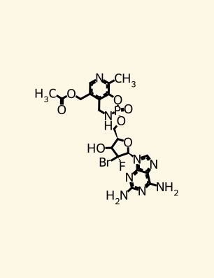 CC(=O)OCc1cnc(C)c2c1CNP(=O)(OC[C@H]1O[C@@H](n3cnc4c(N)nc(N)nc43)[C@@](F)(Br)C1O)O2